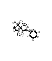 O=C(O)C1(C(F)(F)F)C=C(c2ccccn2)N=N1